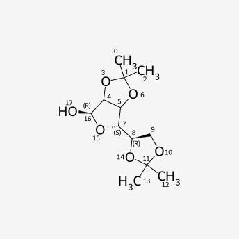 CC1(C)OC2C(O1)[C@H]([C@H]1COC(C)(C)O1)O[C@H]2O